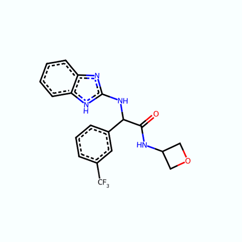 O=C(NC1COC1)C(Nc1nc2ccccc2[nH]1)c1cccc(C(F)(F)F)c1